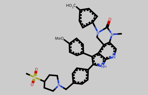 COc1ccc(-c2c(-c3ccc(CN4CCC(S(C)(=O)=O)CC4)cc3)[nH]c3ncc4c(c23)CN(c2ccc(C(=O)O)cc2)C(=O)N4C)cc1